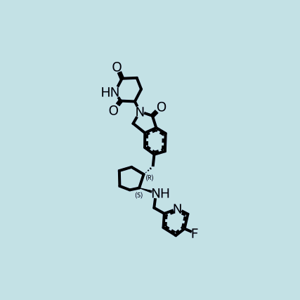 O=C1CCC(N2Cc3cc(C[C@H]4CCCC[C@@H]4NCc4ccc(F)cn4)ccc3C2=O)C(=O)N1